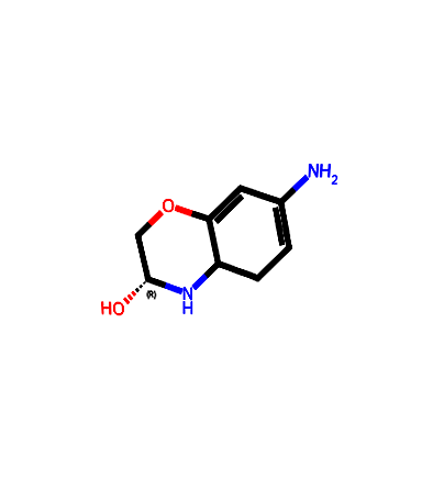 NC1=CCC2N[C@H](O)COC2=C1